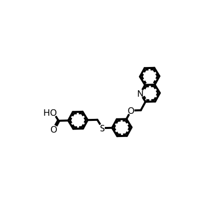 O=C(O)c1ccc(CSc2cccc(OCc3ccc4ccccc4n3)c2)cc1